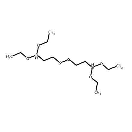 CCO[SiH](CCSSCC[SiH](OCC)OCC)OCC